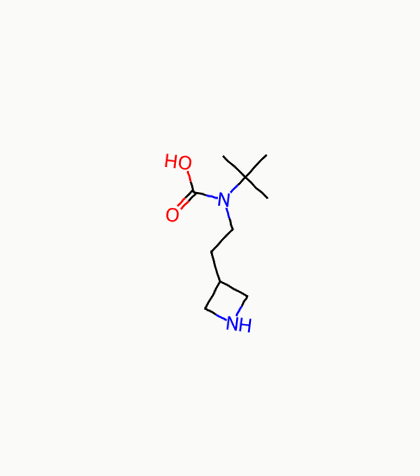 CC(C)(C)N(CCC1CNC1)C(=O)O